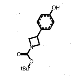 CC(C)(C)OC(=O)N1CC(c2ccc(O)cc2)C1